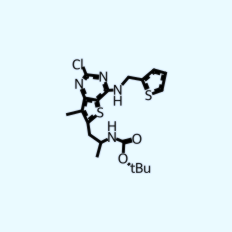 Cc1c(CC(C)NC(=O)OC(C)(C)C)sc2c(NCc3cccs3)nc(Cl)nc12